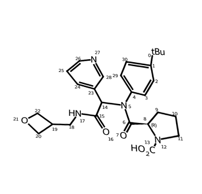 CC(C)(C)c1ccc(N(C(=O)[C@H]2CCCN2C(=O)O)C(C(=O)NCC2COC2)c2cccnc2)cc1